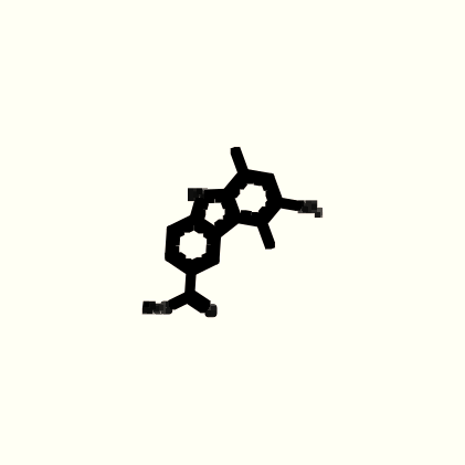 COC(=O)c1ccc2[nH]c3c(C)cc(N)c(C)c3c2c1